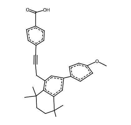 COc1ccc(-c2cc(CC#Cc3ccc(C(=O)O)cc3)c3c(c2)C(C)(C)CCC3(C)C)cc1